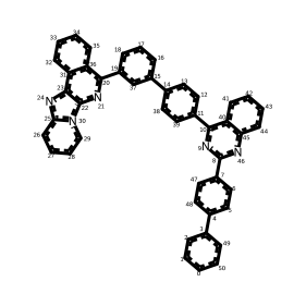 c1ccc(-c2ccc(-c3nc(-c4ccc(-c5cccc(-c6nc7c(nc8ccccn87)c7ccccc67)c5)cc4)c4ccccc4n3)cc2)cc1